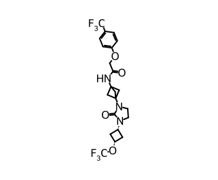 O=C(COc1ccc(C(F)(F)F)cc1)NC12CC(N3CCN([C@H]4C[C@@H](OC(F)(F)F)C4)C3=O)(C1)C2